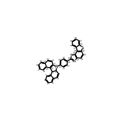 C1=CC2C(c3ccccc31)c1c(ccc3ccccc13)N2c1ccc(-c2nc3ccc4sc5ccccc5c4c3s2)cc1